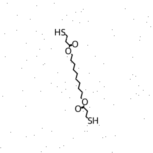 O=C(CCS)OCCCCCCCCCCOC(=O)CCS